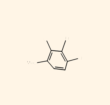 CCc1c(Cl)ccc(OC)c1Cl